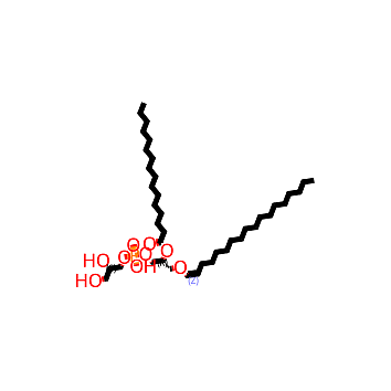 CCCCCCCCCCCCCCCC/C=C\OC[C@H](COP(=O)(O)OC[C@@H](O)CO)OC(=O)CCCCCCCCCCCCCCC